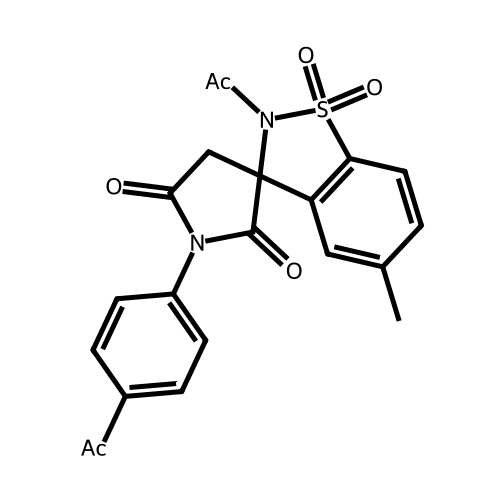 CC(=O)c1ccc(N2C(=O)CC3(C2=O)c2cc(C)ccc2S(=O)(=O)N3C(C)=O)cc1